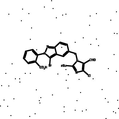 CCCCc1nc(Cl)c(C=O)n1Cc1ccc2nn(-c3ccccc3C(=O)O)c(Br)c2c1